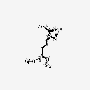 CC(C)(C)ON(C=O)CCCn1nnnc1S